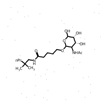 CCCC(C)(C)CNC(=O)CCCCOC1OC(O)[C@H](O)[C@H](O)C1NC(C)=O